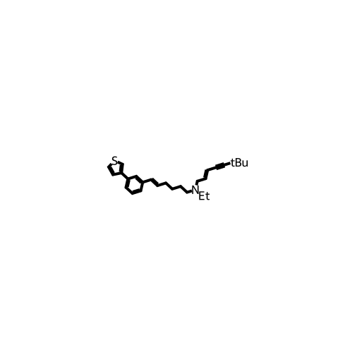 CCN(CC=CC#CC(C)(C)C)CCCCC=Cc1cccc(-c2ccsc2)c1